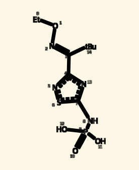 CCON=C(c1nsc(NP(=O)(O)O)n1)C(C)(C)C